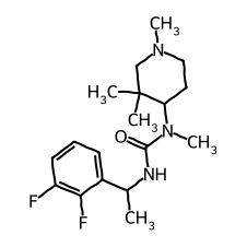 CC(NC(=O)N(C)C1CCN(C)CC1(C)C)c1cccc(F)c1F